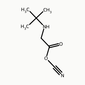 CC(C)(C)NCC(=O)OC#N